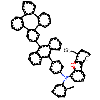 Cc1ccccc1N(c1ccc(-c2c3ccccc3c(-c3ccc4c(c3)-c3ccccc3-c3ccccc3-c3ccccc3-4)c3ccccc23)cc1)c1cccc2c1oc1c(C(C)(C)C)cccc12